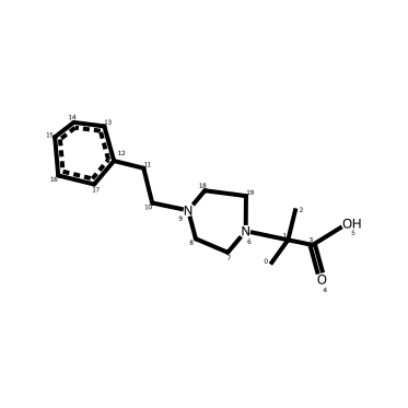 CC(C)(C(=O)O)N1CCN(CCc2ccccc2)CC1